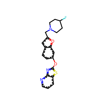 FC1CCN(Cc2cc3ccc(Oc4nc5ncccc5s4)cc3o2)CC1